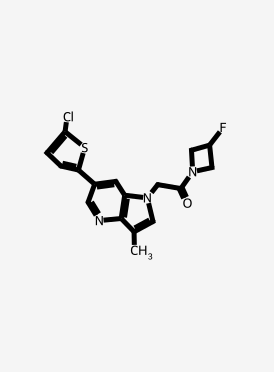 Cc1cn(CC(=O)N2CC(F)C2)c2cc(-c3ccc(Cl)s3)cnc12